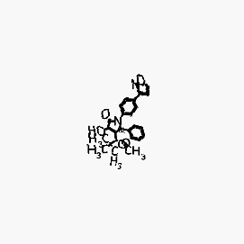 COc1ccccc1[C@H]1C(C(=O)C(C)(C)C)=C(O)C(=O)N1c1ccc(-c2ccon2)cc1